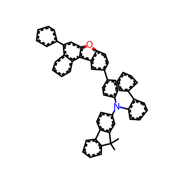 CC1(C)c2ccccc2-c2ccc(N(c3ccc(-c4ccc5oc6cc(-c7ccccc7)c7ccccc7c6c5c4)cc3)c3ccccc3-c3ccccc3)cc21